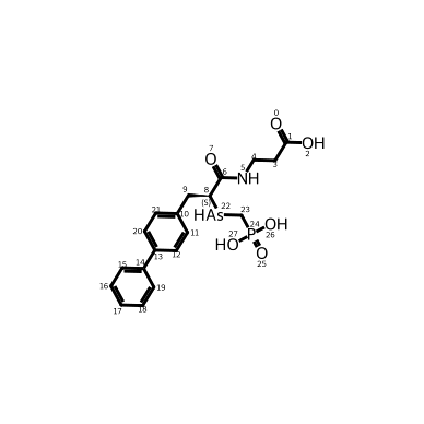 O=C(O)CCNC(=O)[C@H](Cc1ccc(-c2ccccc2)cc1)[AsH]CP(=O)(O)O